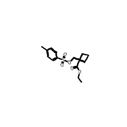 CCOC(=O)C1(COS(=O)(=O)c2ccc(C)cc2)CCC1